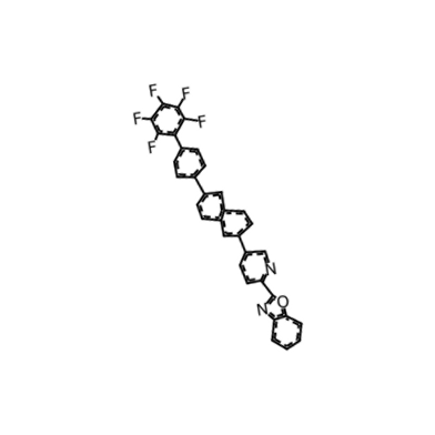 Fc1c(F)c(F)c(-c2ccc(-c3ccc4cc(-c5ccc(-c6nc7ccccc7o6)nc5)ccc4c3)cc2)c(F)c1F